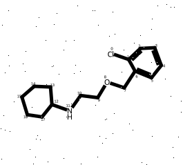 Clc1ccccc1COCCNC1CCCCC1